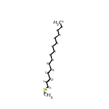 CCCCCCCCCCCCCCC[CH]SC